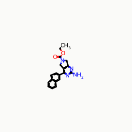 CCOC(=O)N1Cc2nc(N)nc(-c3ccc4ccccc4c3)c2C1